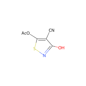 CC(=O)Oc1snc(O)c1C#N